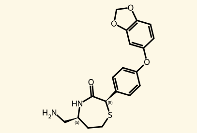 NC[C@@H]1CCS[C@H](c2ccc(Oc3ccc4c(c3)OCO4)cc2)C(=O)N1